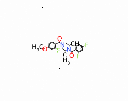 COc1ccc(C(=O)N2C[C@@H](C)N(C(=O)c3ccc(F)cc3F)[C@H](C)C2)c(F)c1